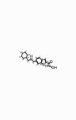 O=C(NO)c1cc2ccc(CNCC3CCCCC3)cc2s1